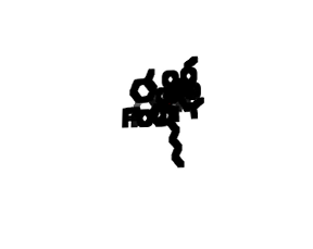 C=C(C)[C@@H]1CCC(C)=C[C@H]1c1c(O)cc(CCCCC)cc1OP(=O)(C(=O)OCC)N(C(C)C)C(C)C(=O)O